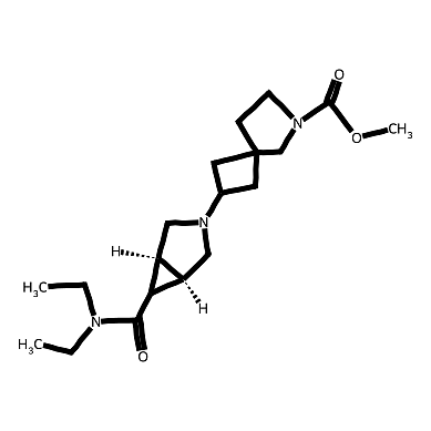 CCN(CC)C(=O)C1[C@H]2CN(C3CC4(CCN(C(=O)OC)C4)C3)C[C@@H]12